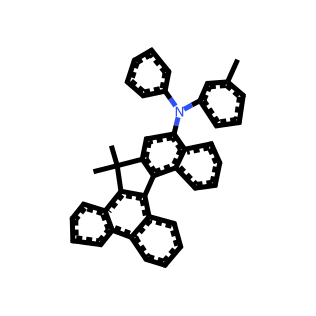 Cc1cccc(N(c2ccccc2)c2cc3c(c4ccccc24)-c2c(c4ccccc4c4ccccc24)C3(C)C)c1